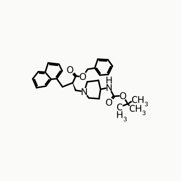 CC(C)(C)OC(=O)NC1CCN(C[C@@H](Cc2cccc3ccccc23)C(=O)OCc2ccccc2)CC1